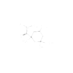 CC(=O)N(C)C(=O)C1(C)CC(C)CC(C)(C(=O)O)C1